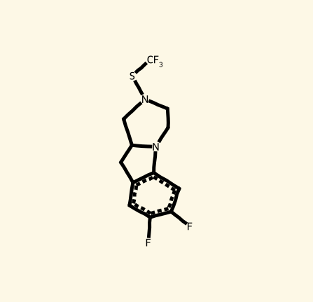 Fc1cc2c(cc1F)N1CCN(SC(F)(F)F)CC1C2